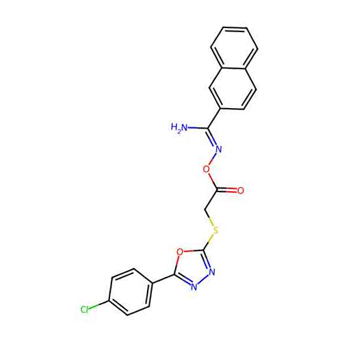 NC(=NOC(=O)CSc1nnc(-c2ccc(Cl)cc2)o1)c1ccc2ccccc2c1